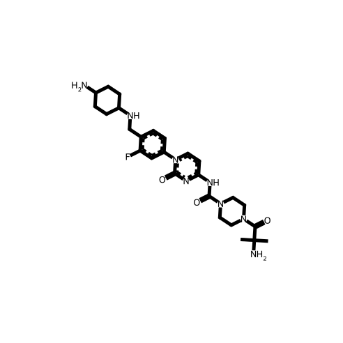 CC(C)(N)C(=O)N1CCN(C(=O)Nc2ccn(-c3ccc(CNC4CCC(N)CC4)c(F)c3)c(=O)n2)CC1